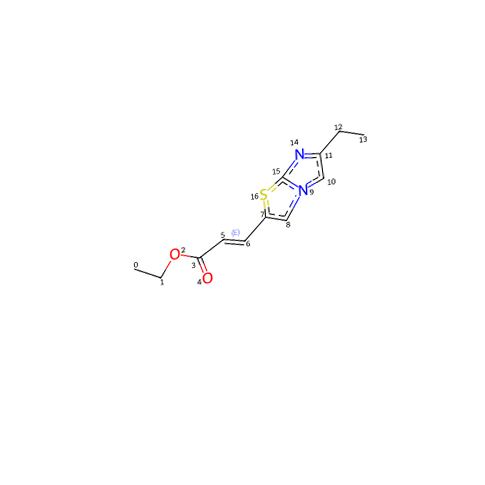 CCOC(=O)/C=C/c1cn2cc(CC)nc2s1